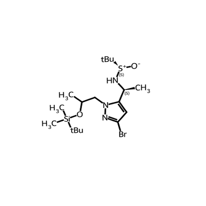 CC(Cn1nc(Br)cc1[C@H](C)N[S@+]([O-])C(C)(C)C)O[Si](C)(C)C(C)(C)C